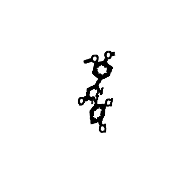 COc1ccc(C2=NN(c3ccc(Cl)cc3Cl)C(=O)C2)cc1OC